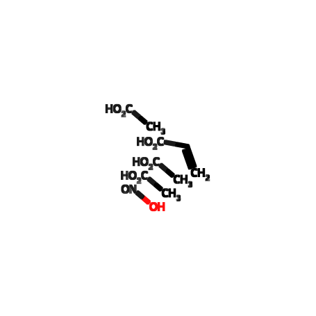 C=CC(=O)O.CC(=O)O.CC(=O)O.CC(=O)O.O=NO